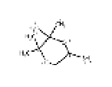 BC1COC(C)(C)C(C)(C)O1